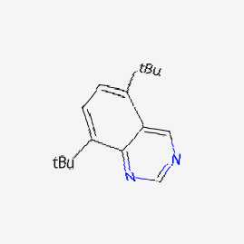 CC(C)(C)c1ccc(C(C)(C)C)c2ncncc12